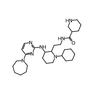 O=C(NCCC1C(Nc2nccc(N3CCCCCC3)n2)CCCN1C1CCCCC1)C1CCCNC1